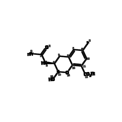 CCCC(=O)N[C@H]1Cc2cc(F)cc(C(=O)OCC)c2OB1O